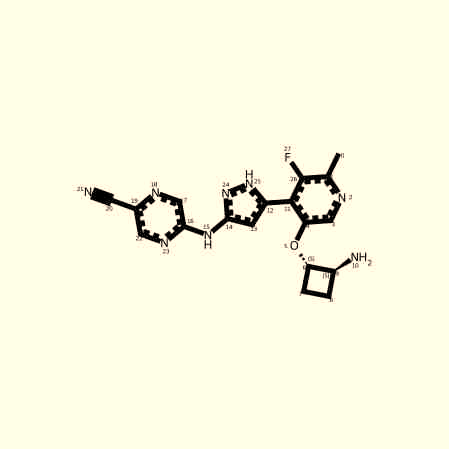 Cc1ncc(O[C@H]2CC[C@@H]2N)c(-c2cc(Nc3cnc(C#N)cn3)n[nH]2)c1F